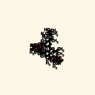 C=C(C)C(=O)OC(C1CC(C(C)(C)OC(C)(C)C(C)(C)O)CC(C(C)(C)OC(C)(C)C(C)(O)C(F)(F)F)C1)C1CC(C(C)(C)OC(C)(C)C(C)(O)C(F)(F)F)CC(C(C)(C)OC(C)(C)C(O)(C(F)(F)F)C(F)(F)F)C1